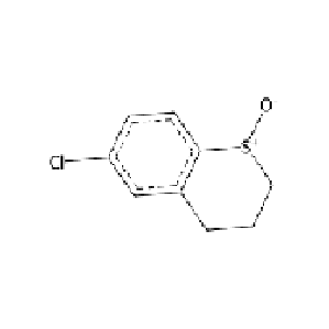 [O-][S+]1CCCc2cc(Cl)ccc21